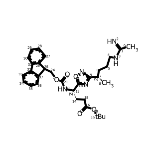 CC(=N)NCCC[C@H](C)c1noc([C@H](CCC(=O)OC(C)(C)C)NC(=O)OCC2c3ccccc3-c3ccccc32)n1